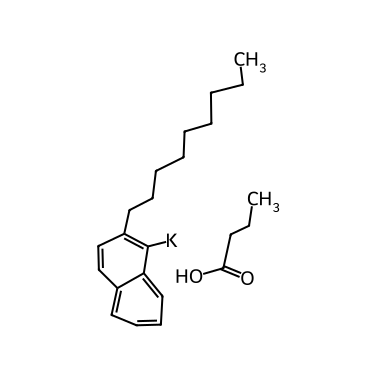 CCCC(=O)O.CCCCCCCCCc1ccc2ccccc2[c]1[K]